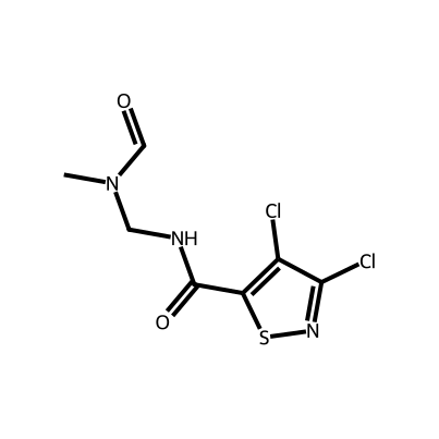 CN(C=O)CNC(=O)c1snc(Cl)c1Cl